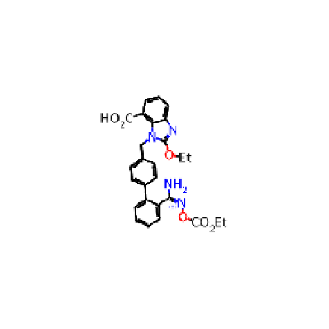 CCOC(=O)O/N=C(/N)c1ccccc1-c1ccc(Cn2c(OCC)nc3cccc(C(=O)O)c32)cc1